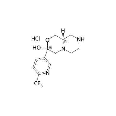 Cl.O[C@@]1(c2ccc(C(F)(F)F)nc2)CN2CCNC[C@H]2CO1